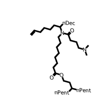 C=CCCCCC(CCCCCCCCCC)N(CCCCCCCC(=O)OCCC(CCCCC)CCCCC)C(=O)CCCN(C)C